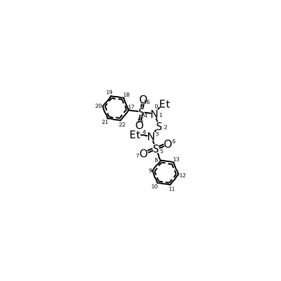 CCN(SN(CC)S(=O)(=O)c1ccccc1)S(=O)(=O)c1ccccc1